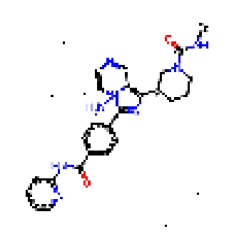 CCNC(=O)N1CCC[C@@H](C2=C3C=NC=C[N+]3(N)C(c3ccc(C(=O)Nc4ccccn4)cc3)=N2)C1